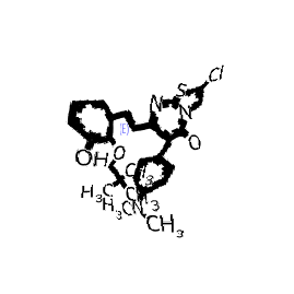 CN(C)c1ccc(-c2c(/C=C/c3cccc(O)c3OCC(C)(C)C)nc3sc(Cl)cn3c2=O)cc1